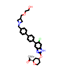 COC(=O)[C@H]1C[C@@H](Oc2nc3cc(-c4ccc(-c5ccc(CN6CC(COCCO)C6)cc5)cc4)c(Cl)cc3[nH]2)CCO1